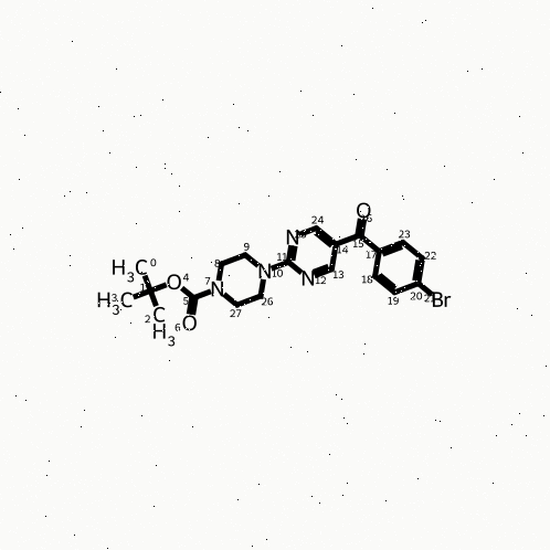 CC(C)(C)OC(=O)N1CCN(c2ncc(C(=O)c3ccc(Br)cc3)cn2)CC1